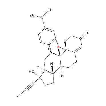 CC#C[C@]1(O)CC[C@H]2[C@@H]3CCC4=CC(=O)CC[C@@]45Sc4cc(N(CC)CC)ccc4[C@@H](C[C@@]21C)[C@@H]35